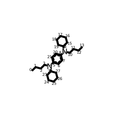 CCCCN(c1ccc(N(CCCC)C2CCCCC2)cc1)C1CCCCC1